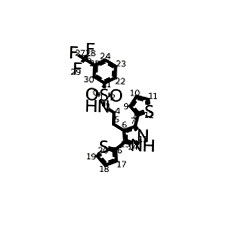 O=S(=O)(NCCc1c(-c2cccs2)n[nH]c1-c1cccs1)c1cccc(C(F)(F)F)c1